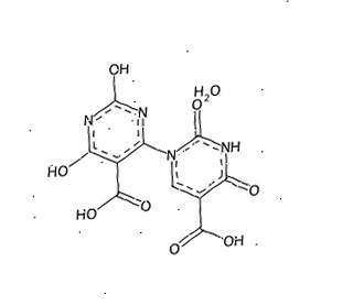 O.O=C(O)c1c(O)nc(O)nc1-n1cc(C(=O)O)c(=O)[nH]c1=O